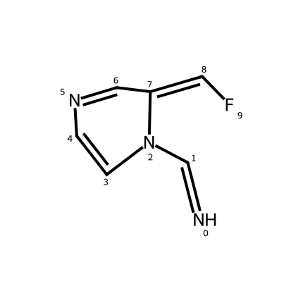 N=CN1C=CN=C/C1=C/F